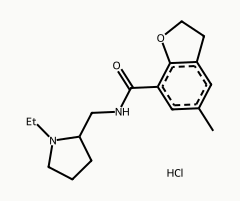 CCN1CCCC1CNC(=O)c1cc(C)cc2c1OCC2.Cl